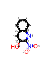 O=[N+]([O-])c1nc2ccccc2cc1O